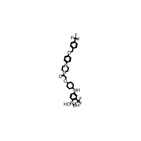 O=C(COC1CCC(Nc2ccc(N(O)O)c(C(F)(F)F)c2)CC1)N1CCN(c2ccc(OCc3ccc(C(F)(F)F)cc3)cc2)CC1